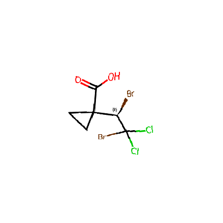 O=C(O)C1([C@@H](Br)C(Cl)(Cl)Br)CC1